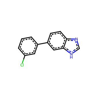 Clc1cccc(-c2ccc3nc[nH]c3c2)c1